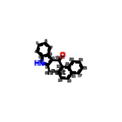 CCCCCc1[nH]c2ccccc2c1C(=O)c1cccc2ccccc12